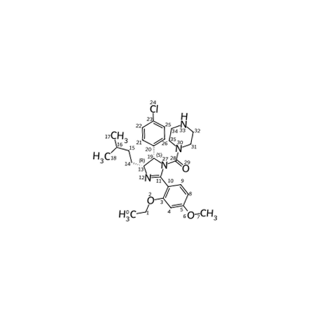 CCOc1cc(OC)ccc1C1=N[C@H](CCC(C)C)[C@H](c2ccc(Cl)cc2)N1C(=O)N1CCNCC1